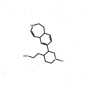 CC(=O)N1CCC(CCC=O)C(C2=CC3C=CNCCC3C=C2)C1